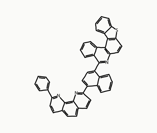 c1ccc(-c2ccc3ccc4ccc(-c5ccc(-c6nc7ccc8sc9ccccc9c8c7c7ccccc67)c6ccccc56)nc4c3n2)cc1